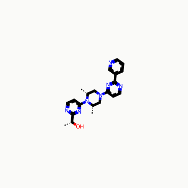 C[C@@H]1CN(c2ccnc(-c3cccnc3)n2)C[C@H](C)N1c1ccnc([C@@H](C)O)n1